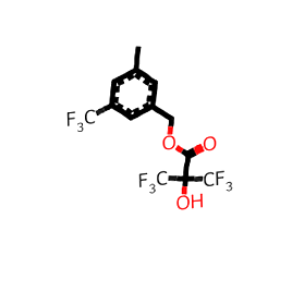 Cc1cc(COC(=O)C(O)(C(F)(F)F)C(F)(F)F)cc(C(F)(F)F)c1